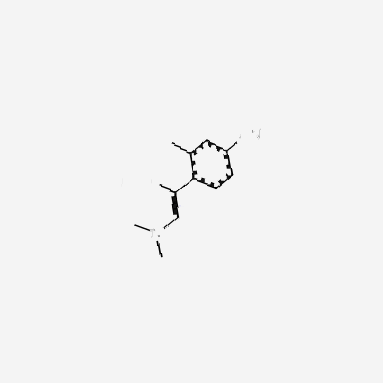 Cc1cc(C#N)ccc1/C(=C/N(C)C)C(=O)O